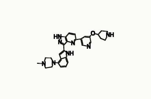 CN1CCN(c2cccc3[nH]c(-c4n[nH]c5ccc(-c6cncc(OC7CCNCC7)c6)nc45)cc23)CC1